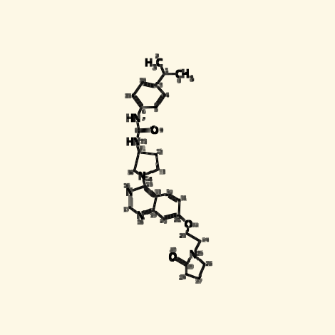 CC(C)c1ccc(NC(=O)NC2CCN(c3ncnc4cc(OCCN5CCCC5=O)ccc34)C2)cc1